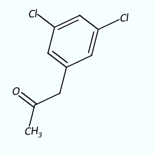 CC(=O)Cc1cc(Cl)cc(Cl)c1